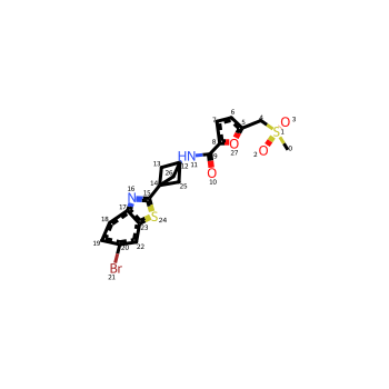 CS(=O)(=O)Cc1ccc(C(=O)NC23CC(c4nc5ccc(Br)cc5s4)(C2)C3)o1